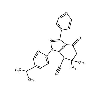 CC(C)c1ccc(-n2nc(-c3ccncc3)c3c2C(C#N)C(C)(C)CC3=O)cc1